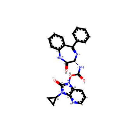 O=C(N[C@H]1N=C(c2ccccc2)c2ccccc2NC1=O)On1c(=O)n(C2CC2)c2ncccc21